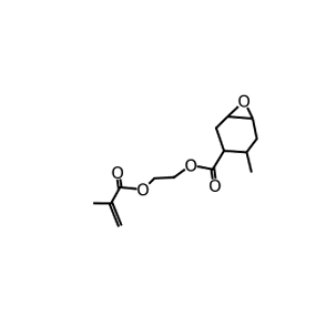 C=C(C)C(=O)OCCOC(=O)C1CC2OC2CC1C